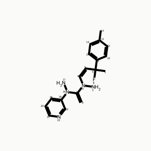 C=C(N(N)/C=C\C(C)(F)c1ccc(C)cc1)N(N)c1cccnc1